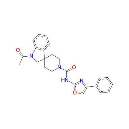 CC(=O)N1CC2(CCN(C(=O)Nc3nc(-c4ccccc4)co3)CC2)c2ccccc21